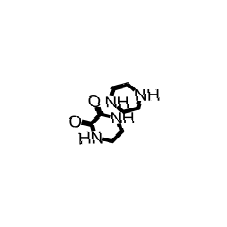 C1CNCCN1.O=C1NCCNC1=O